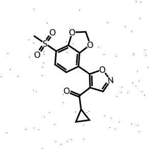 CS(=O)(=O)c1ccc(-c2oncc2C(=O)C2CC2)c2c1OCO2